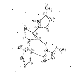 COCc1nnc2n1Cc1c(-c3nc(C)no3)ncn1-c1c(Cl)cccc1-2